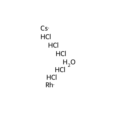 Cl.Cl.Cl.Cl.Cl.O.[Cs].[Rh]